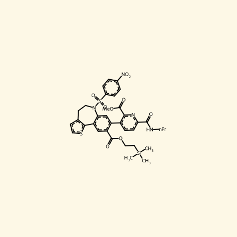 CCCNC(=O)c1ccc(-c2cc3c(cc2C(=O)OCC[Si](C)(C)C)-c2sccc2CCN3S(=O)(=O)c2ccc([N+](=O)[O-])cc2)c(C(=O)OC)n1